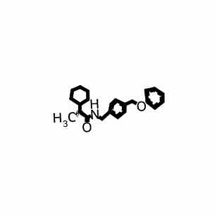 C[C@@H](C(=O)NCc1ccc(COc2ccccc2)cc1)C1CCCCC1